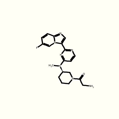 CN(c1ccnc(-c2cnc3ccc(F)cn23)n1)[C@@H]1CCCN(C(=O)CN)C1